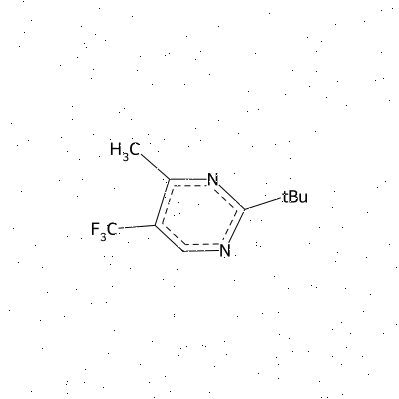 Cc1nc(C(C)(C)C)ncc1C(F)(F)F